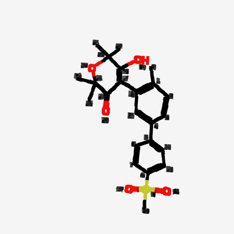 Cc1ccc(-c2ccc(S(C)(=O)=O)cc2)cc1C1=C(O)C(C)(C)OC(C)(C)C1=O